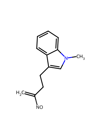 C=C(CCc1cn(C)c2ccccc12)N=O